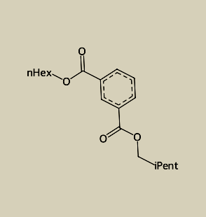 CCCCCCOC(=O)c1cccc(C(=O)OCC(C)CCC)c1